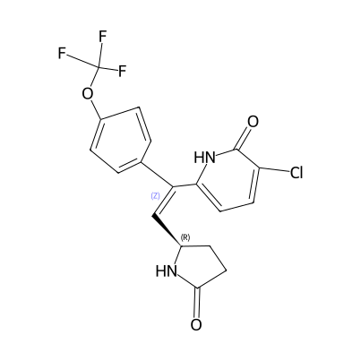 O=C1CC[C@H](/C=C(/c2ccc(OC(F)(F)F)cc2)c2ccc(Cl)c(=O)[nH]2)N1